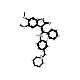 COc1cc2c(cc1OC)/C(=C(\Nc1ccc(CN3CCCCC3)cc1)c1ccccc1)C(=O)N2